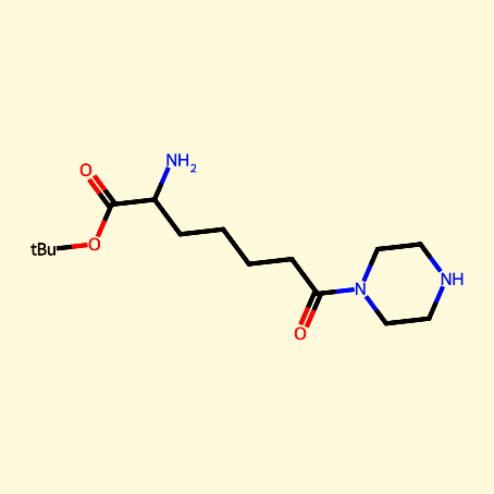 CC(C)(C)OC(=O)C(N)CCCCC(=O)N1CCNCC1